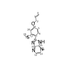 C=CCOc1ccc(-c2nc3nccnc3[nH]2)c(SC)c1